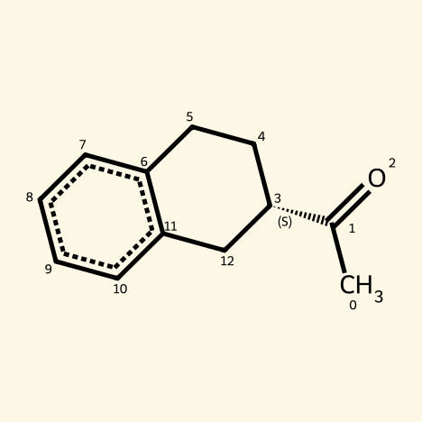 CC(=O)[C@H]1CCc2ccccc2C1